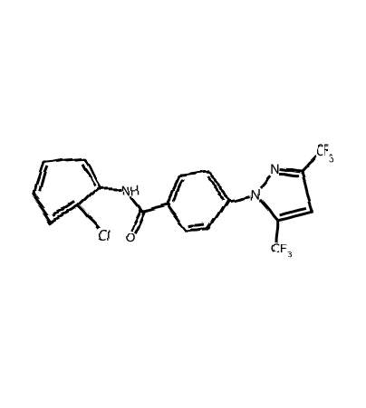 O=C(Nc1ccccc1Cl)c1ccc(-n2nc(C(F)(F)F)cc2C(F)(F)F)cc1